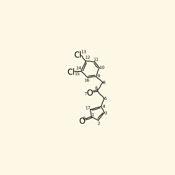 O=C1C=CC(CC(=O)Cc2ccc(Cl)c(Cl)c2)=C1